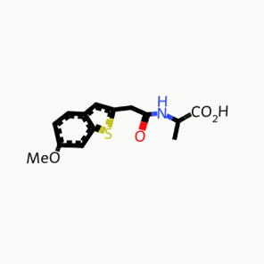 COc1ccc2cc(CC(=O)NC(C)C(=O)O)sc2c1